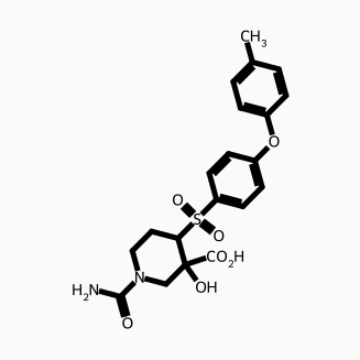 Cc1ccc(Oc2ccc(S(=O)(=O)C3CCN(C(N)=O)CC3(O)C(=O)O)cc2)cc1